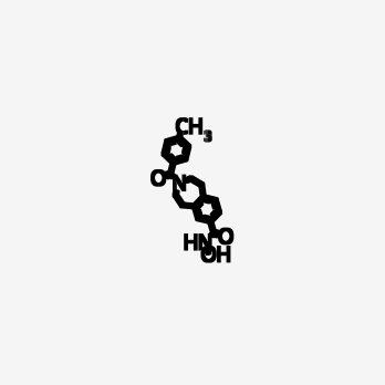 Cc1ccc(C(=O)N2CCc3ccc(C(=O)NO)cc3CC2)cc1